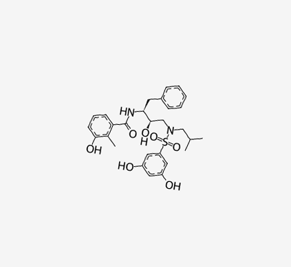 Cc1c(O)cccc1C(=O)N[C@@H](Cc1ccccc1)[C@H](O)CN(CC(C)C)S(=O)(=O)c1cc(O)cc(O)c1